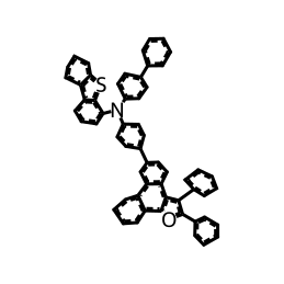 c1ccc(-c2ccc(N(c3ccc(-c4ccc5c(c4)c4ccccc4c4oc(-c6ccccc6)c(-c6ccccc6)c54)cc3)c3cccc4c3sc3ccccc34)cc2)cc1